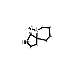 CC(C)N1CCCCC12CCNC2